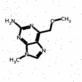 COCc1nc(N)nc2c1ncn2C